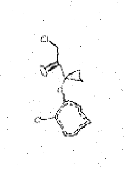 O=C(CCl)C1(Oc2ccccc2Cl)CC1